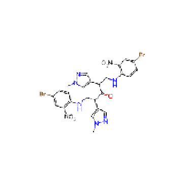 Cn1cc(C(CNc2ccc(Br)cc2[N+](=O)[O-])C(=O)C(CNc2ccc(Br)cc2[N+](=O)[O-])c2cnn(C)c2)cn1